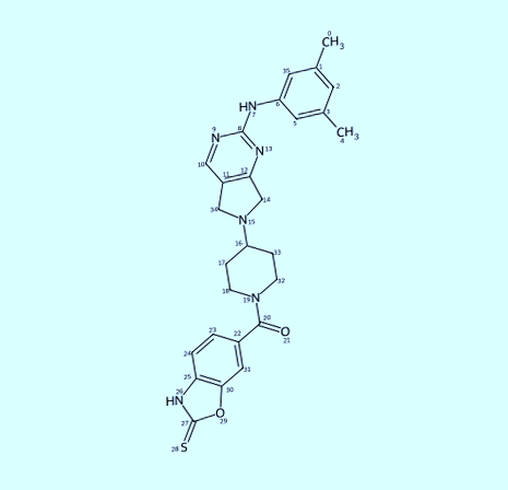 Cc1cc(C)cc(Nc2ncc3c(n2)CN(C2CCN(C(=O)c4ccc5[nH]c(=S)oc5c4)CC2)C3)c1